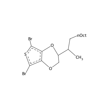 CCCCCCCCCC(C)C1COc2c(Br)sc(Br)c2O1